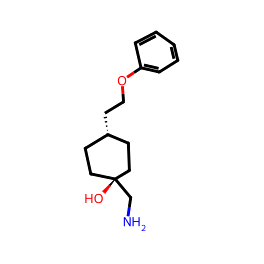 NC[C@]1(O)CC[C@H](CCOc2ccccc2)CC1